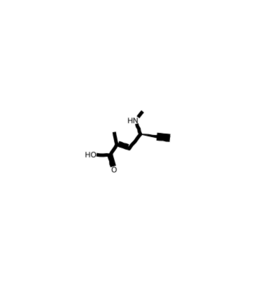 C#C[C@@H](/C=C(\C)C(=O)O)NC